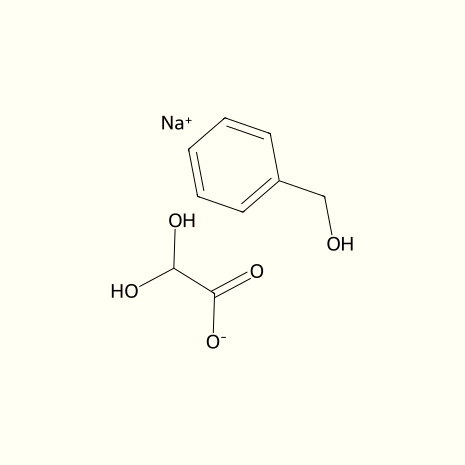 O=C([O-])C(O)O.OCc1ccccc1.[Na+]